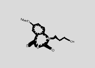 COc1ccc2c(c1)c(=O)oc(=O)n2CCCC#N